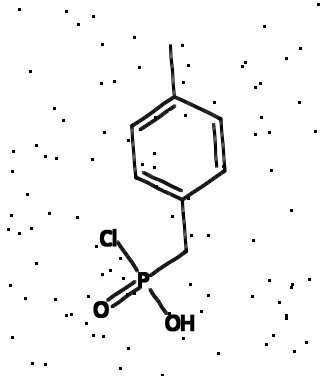 Cc1ccc(CP(=O)(O)Cl)cc1